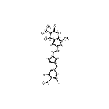 COc1c(F)cc(Cn2cnc(CNc3nc(C)c4c(n3)N(C)[C@@H](C(C)C)C(=O)N4)n2)cc1F